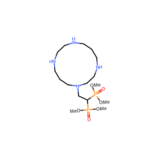 COP(=O)(OC)C(CN1CCCNCCNCCCNCC1)P(=O)(OC)OC